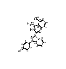 CC(NC(=O)c1nc(-c2ccc(F)cc2)c2ccccn12)c1ccccc1Cl